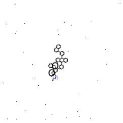 C=C/C=C\c1c(C)oc2c1cc(-c1cccc(-c3c4ccccc4c(-c4cccc(-c5cccc6ccccc56)c4)c4ccccc34)c1)c1oc3ccccc3c12